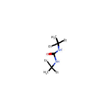 CCC(C)(CC)NC(=O)NC(C)(CC)CC